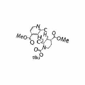 COC(=O)[C@H]1CCN(C(=O)OC(C)(C)C)[C@@H](C)C1.COC(=O)c1ccnc(C)c1